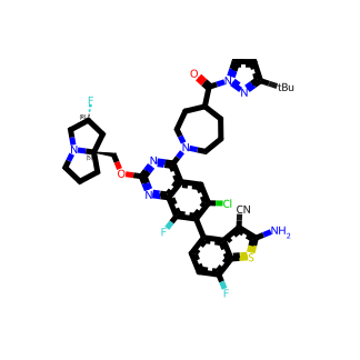 CC(C)(C)c1ccn(C(=O)C2CCCN(c3nc(OC[C@@]45CCCN4C[C@H](F)C5)nc4c(F)c(-c5ccc(F)c6sc(N)c(C#N)c56)c(Cl)cc34)CC2)n1